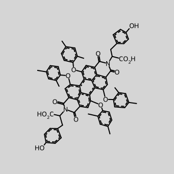 Cc1ccc(Oc2cc3c4c(cc(Oc5ccc(C)cc5C)c5c6c(Oc7ccc(C)cc7C)cc7c8c(cc(Oc9ccc(C)cc9C)c(c2c45)c86)C(=O)N(C(Cc2ccc(O)cc2)C(=O)O)C7=O)C(=O)N(C(Cc2ccc(O)cc2)C(=O)O)C3=O)c(C)c1